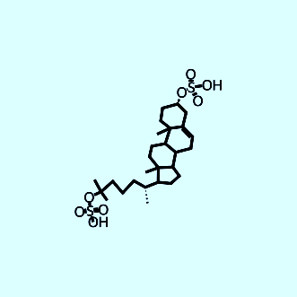 C[C@H](CCCC(C)(C)OS(=O)(=O)O)C1CCC2C3CC=C4C[C@@H](OS(=O)(=O)O)CCC4(C)C3CCC21C